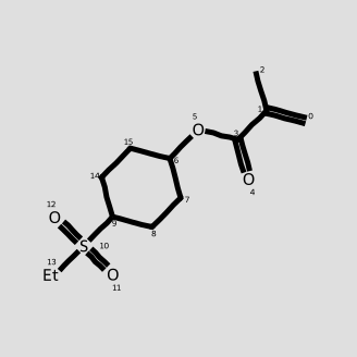 C=C(C)C(=O)OC1CCC(S(=O)(=O)CC)CC1